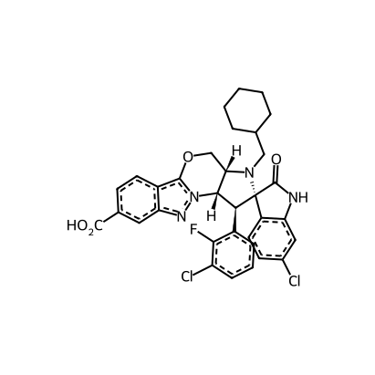 O=C(O)c1ccc2c3n(nc2c1)[C@@H]1[C@H](CO3)N(CC2CCCCC2)[C@@]2(C(=O)Nc3cc(Cl)ccc32)[C@H]1c1cccc(Cl)c1F